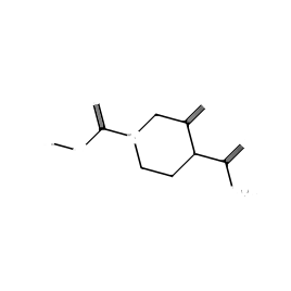 COC(=O)C1CCN(C(=O)OC(C)(C)C)CC1=O